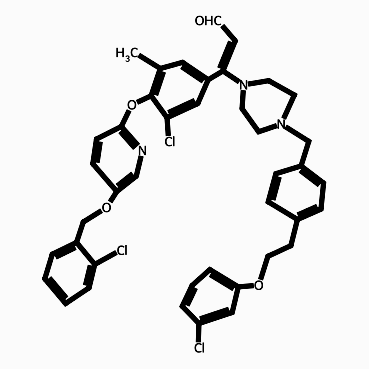 Cc1cc(/C(=C\C=O)N2CCN(Cc3ccc(CCOc4cccc(Cl)c4)cc3)CC2)cc(Cl)c1Oc1ccc(OCc2ccccc2Cl)cn1